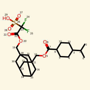 CC(C)C1CCC(C(=O)OCC23CC4CC(C2)CC(COC(=O)C(F)(F)S(=O)(=O)O)(C4)C3)CC1